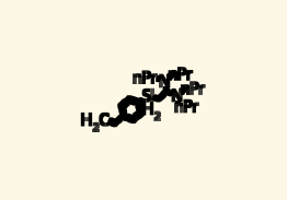 C=Cc1ccc([SiH2]CC(N(CCC)CCC)N(CCC)CCC)cc1